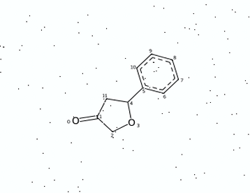 O=C1[CH]OC(c2ccccc2)C1